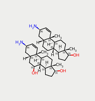 C[C@]12C=C[C@H](N)C[C@H]1CC[C@@H]1[C@@H]2CC[C@]2(C)[C@@H](O)CC[C@@H]12.C[C@]12C=C[C@H](N)C[C@H]1C[C@H](O)[C@@H]1[C@@H]2CC[C@]2(C)[C@@H](O)CC[C@@H]12